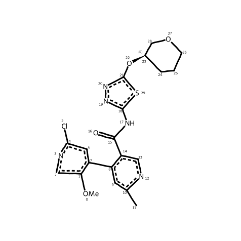 COc1cnc(Cl)cc1-c1cc(C)ncc1C(=O)Nc1nnc(O[C@@H]2CCCOC2)s1